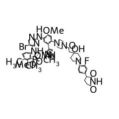 COc1cc(N2CCN(C(=O)CC3(O)CCN(c4ccc(C5CCC(=O)NC5=O)cc4F)CC3)CC2)c(-c2cnn(C)c2)cc1Nc1ncc(Br)c(Nc2ccc(C)c(C)c2P(=O)(OC)OC)n1